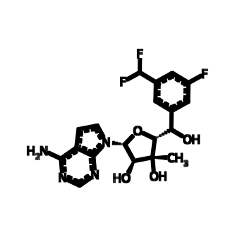 C[C@]1(O)[C@@H](C(O)c2cc(F)cc(C(F)F)c2)O[C@@H](n2ccc3c(N)ncnc32)[C@@H]1O